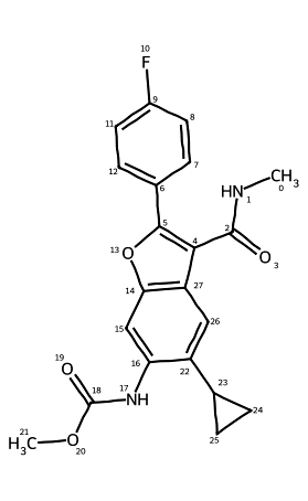 CNC(=O)c1c(-c2ccc(F)cc2)oc2cc(NC(=O)OC)c(C3CC3)cc12